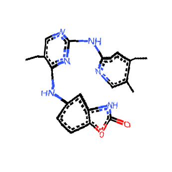 Cc1cnc(Nc2ncc(C)c(Nc3ccc4oc(=O)[nH]c4c3)n2)cc1C